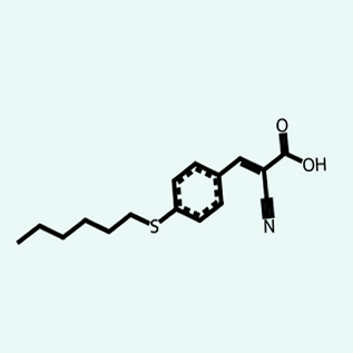 CCCCCCSc1ccc(/C=C(\C#N)C(=O)O)cc1